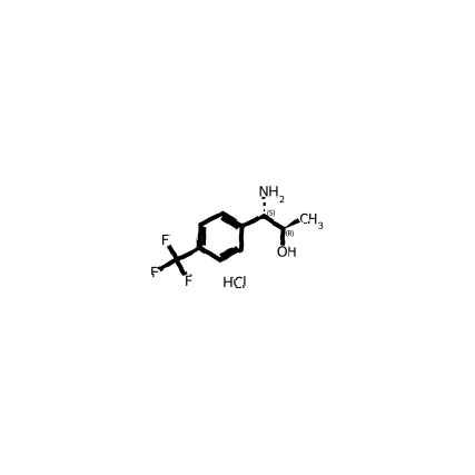 C[C@@H](O)[C@@H](N)c1ccc(C(F)(F)F)cc1.Cl